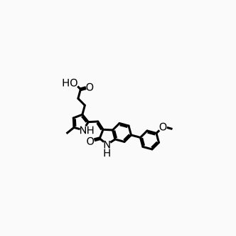 COc1cccc(-c2ccc3c(c2)NC(=O)C3=Cc2[nH]c(C)cc2CCC(=O)O)c1